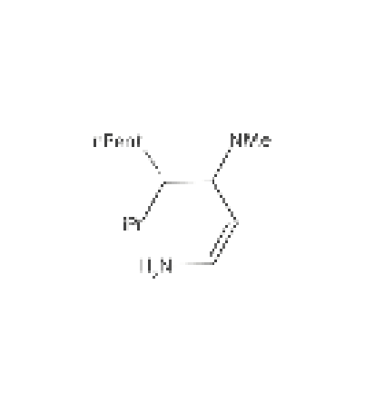 CCCCC[C@@H](C(C)C)C(/C=C\N)NC